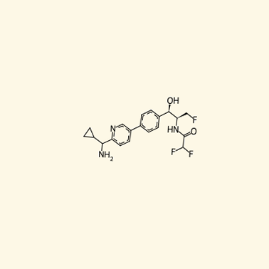 NC(c1ccc(-c2ccc([C@@H](O)[C@@H](CF)NC(=O)C(F)F)cc2)cn1)C1CC1